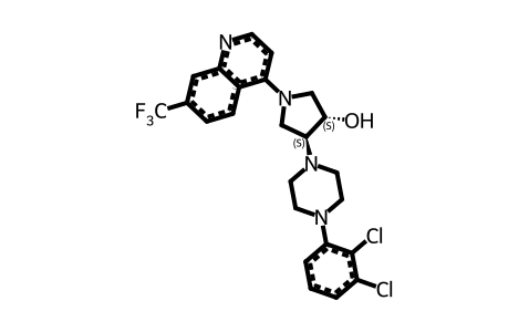 O[C@H]1CN(c2ccnc3cc(C(F)(F)F)ccc23)C[C@@H]1N1CCN(c2cccc(Cl)c2Cl)CC1